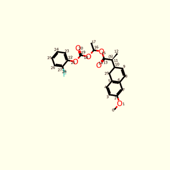 COc1ccc2c(c1)C=CC([C@H](C)C(=O)OC(C)OC(=O)Oc1ccccc1F)C2